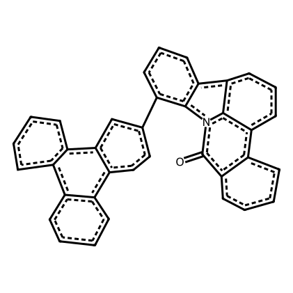 O=c1c2ccccc2c2cccc3c4cccc(-c5ccc6c7ccccc7c7ccccc7c6c5)c4n1c23